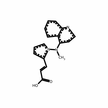 CN(c1ccnc2ccccc12)n1cccc1/C=C/C(=O)O